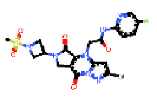 CCc1cc2n(CC(=O)Nc3ccc(F)cn3)c3c(c(=O)n2n1)CN(C1CN(S(C)(=O)=O)C1)C3=O